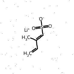 C=C/C(C)=C/S(=O)(=O)[O-].[Li+]